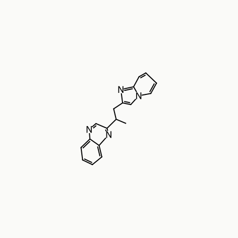 CC(Cc1cn2ccccc2n1)c1cnc2ccccc2n1